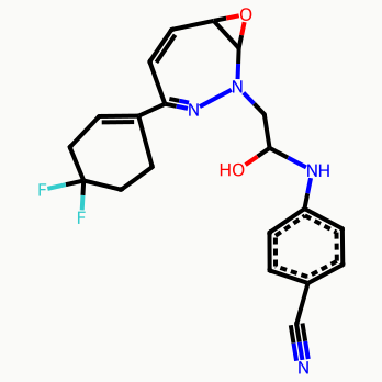 N#Cc1ccc(NC(O)CN2N=C(C3=CCC(F)(F)CC3)C=CC3OC32)cc1